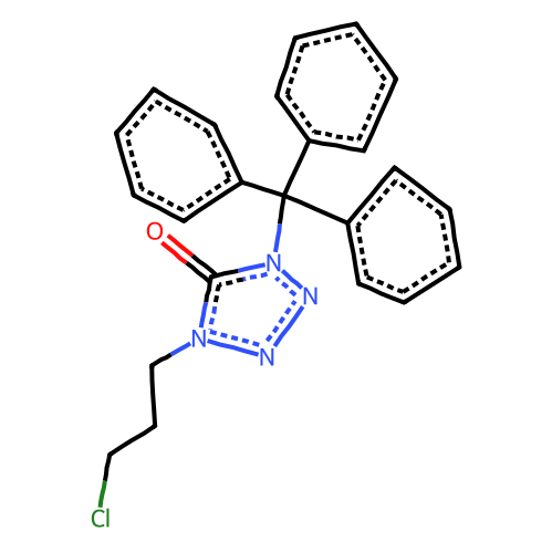 O=c1n(CCCCl)nnn1C(c1ccccc1)(c1ccccc1)c1ccccc1